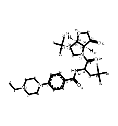 CCN1CCN(c2ccc(C(=O)NC(CC(C)(C)C)C(=O)N3C[C@H](C(C)(C)C)[C@H]4OCC(=O)[C@H]43)cc2)CC1